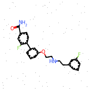 NC(=O)c1ccc(-c2cccc(OCCNCCc3cccc(F)c3)c2)c(F)c1